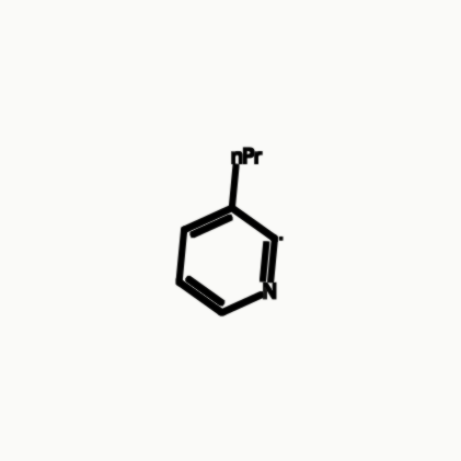 CCCc1[c]nccc1